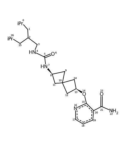 CC(C)CC(CNC(=O)N[C@H]1CC2(C1)C[C@H](Oc1ncccc1C(N)=O)C2)CC(C)C